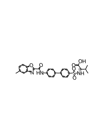 Cc1ccc2oc(C(=O)Nc3ccc(-c4ccc(S(=O)(=O)N[C@H](C(=O)O)C(C)C)cc4)cc3)nc2c1